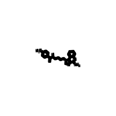 Cc1ccc(C(=O)NCCCCn2cnc3c(N)nc4ccccc4c32)cc1